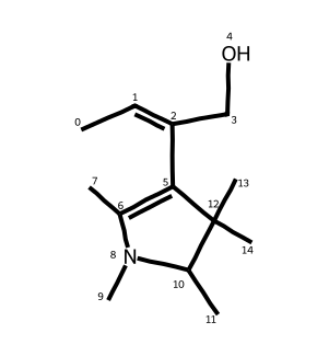 C/C=C(/CO)C1=C(C)N(C)C(C)C1(C)C